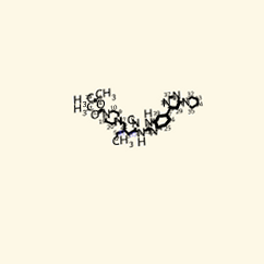 C=N/C(=C\C(=C/C)CN1CCN(C(=O)OC(C)(C)C)CC1)Nc1nc2ccc(-c3cc(N4CCCC4)ncn3)cc2[nH]1